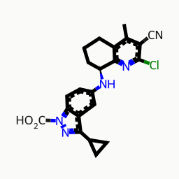 Cc1c(C#N)c(Cl)nc2c1CCC[C@@H]2Nc1ccc2c(c1)c(C1CC1)nn2C(=O)O